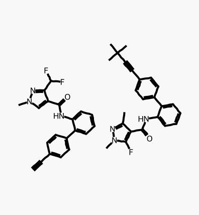 C#Cc1ccc(-c2ccccc2NC(=O)c2cn(C)nc2C(F)F)cc1.Cc1nn(C)c(F)c1C(=O)Nc1ccccc1-c1ccc(C#CC(C)(C)C)cc1